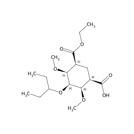 CCOC(=O)[C@H]1C[C@@H](C(=O)O)[C@@H](OC)[C@@H](OC(CC)CC)[C@H]1OC